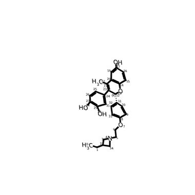 CCC1CN(CCOc2ccc([C@H]3Oc4ccc(O)cc4C(C)=C3c3ccc(O)c(O)c3)cc2)C1